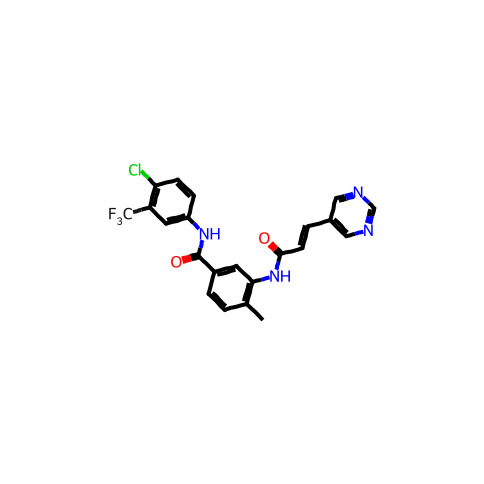 Cc1ccc(C(=O)Nc2ccc(Cl)c(C(F)(F)F)c2)cc1NC(=O)/C=C/c1cncnc1